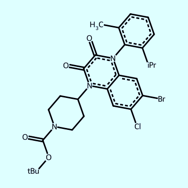 Cc1cccc(C(C)C)c1-n1c(=O)c(=O)n(C2CCN(C(=O)OC(C)(C)C)CC2)c2cc(Cl)c(Br)cc21